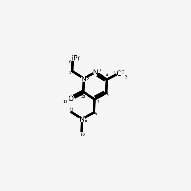 CC(C)Cn1nc(C(F)(F)F)cc(CN(C)C)c1=O